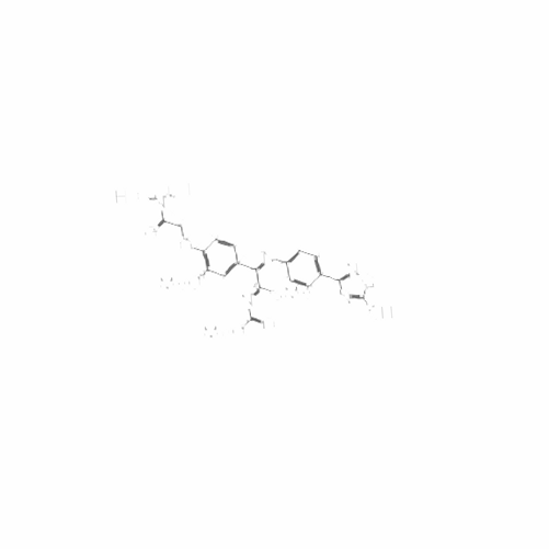 COC(=O)/N=C(SC)/C(=N\c1ccc(-c2noc(C)n2)cc1)c1ccc(OCC(=O)N(C)C)c(OC)c1